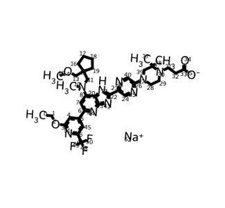 CCOc1cc(-c2cc(N(C)CC3(COC)CCCC3)c3[nH]c(-c4cnc(N5CCN(CCC(=O)[O-])C(C)(C)C5)cn4)nc3n2)cc(C(F)(F)F)n1.[Na+]